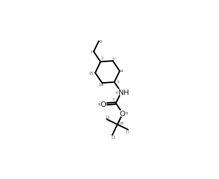 CCC1CCC(NC(=O)OC(C)(C)C)CC1